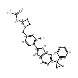 O=C(O)O[C@H]1CCN1Cc1ccc(-c2nc3ccc(C4(c5ccccc5)CC4)nc3s2)c(F)c1